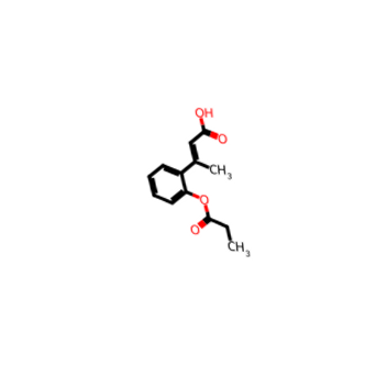 CCC(=O)Oc1ccccc1C(C)=CC(=O)O